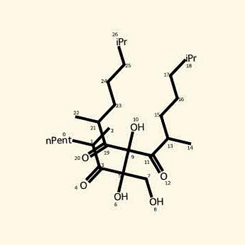 CCCCCC(C)C(=O)C(O)(CO)C(O)(C(=O)C(C)CCCC(C)C)C(=O)C(C)CCCC(C)C